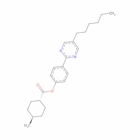 CCCCCCc1cnc(-c2ccc(OC(=O)[C@H]3CC[C@H](C)CC3)cc2)nc1